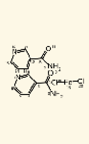 NC(=O)c1cccnc1.NC(=O)c1cccnc1.[Cl][Fe][Cl]